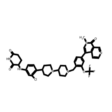 Cn1cc(-c2ccc(CN3CCC(N4CCC(c5ccc(NC6CCC(=O)NC6=O)cc5Cl)CC4)CC3)c(OC(F)(F)F)c2)c2ccncc2c1=O